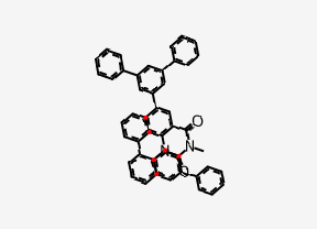 CN(C(=O)c1cc(-c2cc(-c3ccccc3)cc(-c3ccccc3)c2)ccc1N(C=O)c1ccccc1-c1ccccc1)c1ccccc1-c1ccccc1